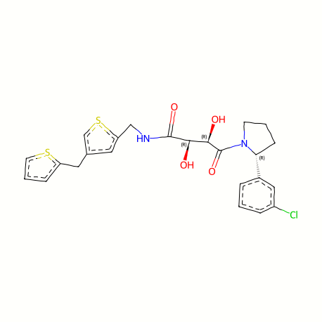 O=C(NCc1cc(Cc2cccs2)cs1)[C@H](O)[C@@H](O)C(=O)N1CCC[C@@H]1c1cccc(Cl)c1